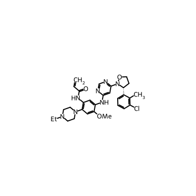 C=CC(=O)Nc1cc(Nc2cc(N3OCC[C@@H]3c3cccc(Cl)c3C)ncn2)c(OC)cc1N1CCN(CC)CC1